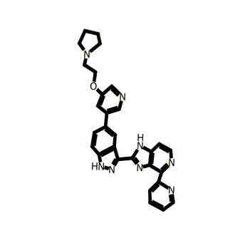 c1ccc(-c2nccc3[nH]c(-c4n[nH]c5ccc(-c6cncc(OCCN7CCCC7)c6)cc45)nc23)nc1